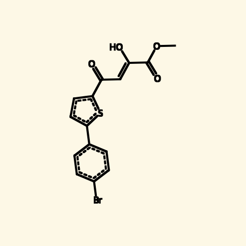 COC(=O)/C(O)=C/C(=O)c1ccc(-c2ccc(Br)cc2)s1